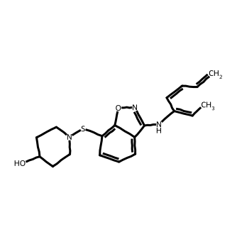 C=C/C=C\C(=C/C)Nc1noc2c(SN3CCC(O)CC3)cccc12